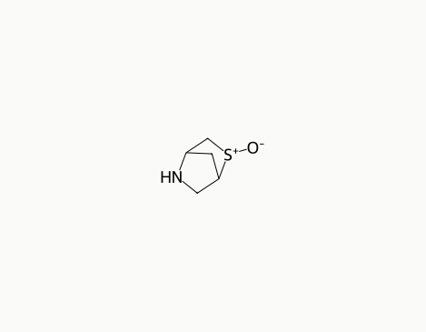 [O-][S+]1CC2CC1CN2